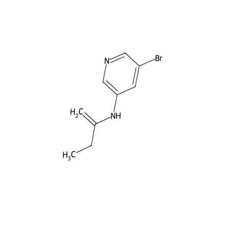 C=C(CC)Nc1cncc(Br)c1